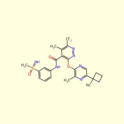 Cc1nc(C2(C#N)CCC2)cnc1Oc1nnc(C(F)(F)F)c(C)c1C(=O)Nc1cccc(S(C)(=N)=O)c1